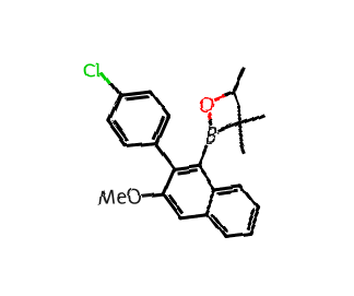 COc1cc2ccccc2c(B2OC(C)C2(C)C)c1-c1ccc(Cl)cc1